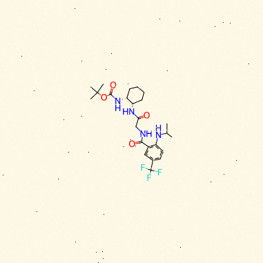 CC(C)Nc1ccc(C(F)(F)F)cc1C(=O)NCC(=O)N[C@H]1CCCC[C@H]1NC(=O)OC(C)(C)C